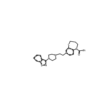 CC(C)C(=O)N1CCCCc2cc(CCN3CCN(c4nsc5ccccc45)CC3)ccc21